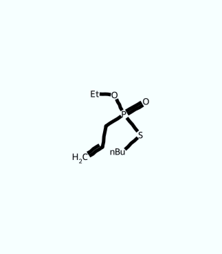 C=CCP(=O)(OCC)SCCCC